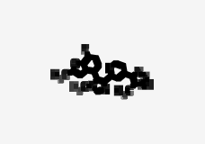 Cc1cc2c(-c3c(-c4cc(-c5nn[nH]c5C)ccn4)ncn3C)ccc(F)c2o1